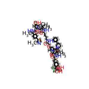 Cc1ncsc1-c1ccc([C@H](C)NC(=O)[C@@H]2C[C@@H](O)CN2C(=O)[C@@H](NC(=O)CCCCNC(=O)CO[C@H]2C[C@@H](C(=O)N3CCC[C@H](c4ccccc4)C3)N(C(=O)[C@@H](NC(=O)c3cc4cc(C(F)(F)P(=O)(O)O)ccc4s3)C(C)(C)C)C2)C(C)(C)C)cc1